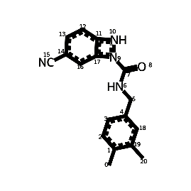 Cc1ccc(CNC(=O)n2[nH]c3ccc(C#N)cc32)cc1C